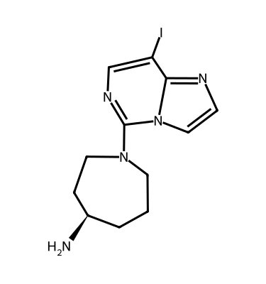 N[C@@H]1CCCN(c2ncc(I)c3nccn23)CC1